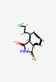 O=C1NC(=S)c2cccc(CCCl)c21